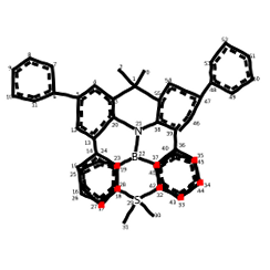 CC1(C)c2cc(-c3ccccc3)cc(-c3ccccc3)c2N(B2c3ccccc3S(C)(C)c3ccccc32)c2c(-c3ccccc3)cc(-c3ccccc3)cc21